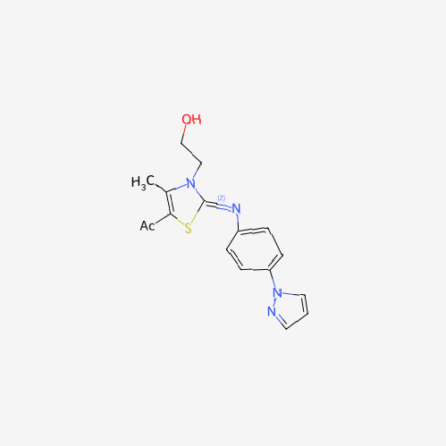 CC(=O)c1s/c(=N\c2ccc(-n3cccn3)cc2)n(CCO)c1C